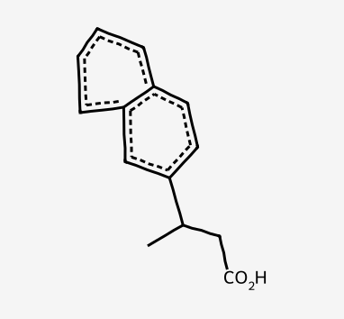 CC(CC(=O)O)c1ccc2ccccc2c1